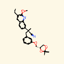 CCc1cc2ccc(C(C)(C#N)Cc3cccc(OC[C@@H]4COC(C)(C)O4)c3)cc2nc1OC